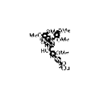 CCC[C@H](C)Oc1nc(N(Cc2ccc(OC)cc2OC)Cc2ccc(OC)cc2OC)c2ncc(C(O)c3cnc(N4CCN(C(=O)OC(C)(C)C)CC4)c(OC)c3)n2n1